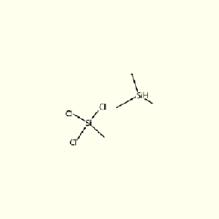 C[SiH](C)C.C[Si](Cl)(Cl)Cl